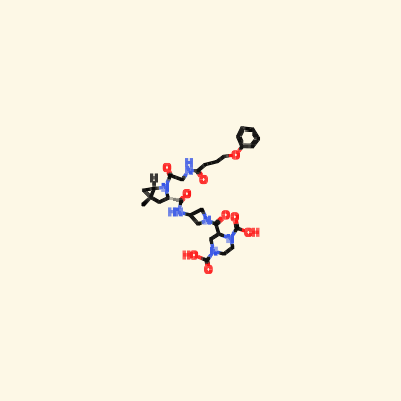 C[C@@]12C[C@@H]1N(C(=O)CNC(=O)CCCOc1ccccc1)[C@H](C(=O)NC1CN(C(=O)C3CN(C(=O)O)CCN3C(=O)O)C1)C2